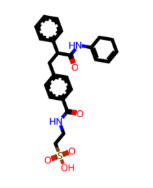 O=C(NCCS(=O)(=O)O)c1ccc(CC(C(=O)NC2=CC=CCC2)c2ccccc2)cc1